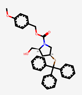 COc1ccc(COC(=O)N2C[C@@H](SC(c3ccccc3)(c3ccccc3)c3ccccc3)C[C@H]2CO)cc1